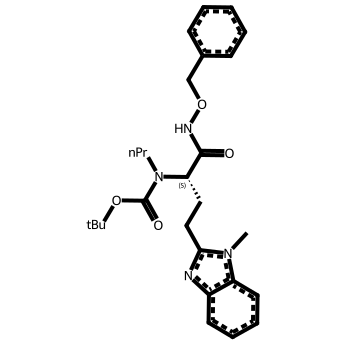 CCCN(C(=O)OC(C)(C)C)[C@@H](CCc1nc2ccccc2n1C)C(=O)NOCc1ccccc1